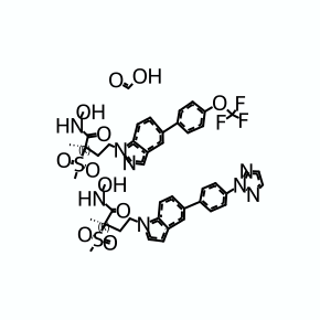 C[C@@](CCn1ccc2cc(-c3ccc(-n4nccn4)cc3)ccc21)(C(=O)NO)S(C)(=O)=O.C[C@@](CCn1ncc2cc(-c3ccc(OC(F)(F)F)cc3)ccc21)(C(=O)NO)S(C)(=O)=O.O=CO